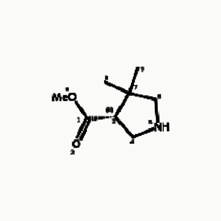 COC(=O)[C@H]1CNCC1(C)C